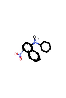 CN(c1ccc([N+](=O)[O-])c2ccccc12)C1CCCCC1